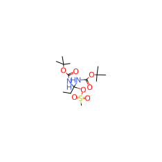 CCC(NC(=O)OC(C)(C)C)(NC(=O)OC(C)(C)C)OS(C)(=O)=O